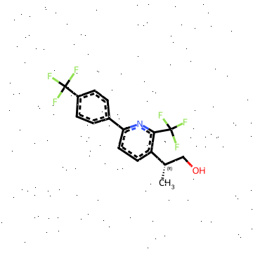 C[C@@H](CO)c1ccc(-c2ccc(C(F)(F)F)cc2)nc1C(F)(F)F